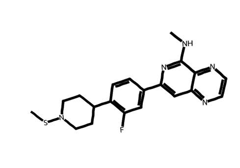 CNc1nc(-c2ccc(C3CCN(SC)CC3)c(F)c2)cc2nccnc12